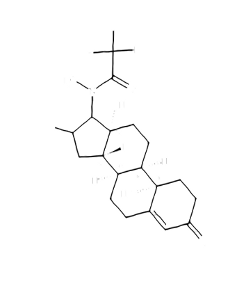 CN(C(=O)C(F)(F)F)C1C(O)C[C@H]2[C@@H]3CCC4=CC(=O)CC[C@]4(C)[C@@H]3CC[C@]12C